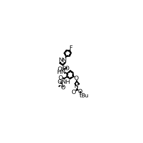 CC(C)(C)OC(=O)N1CC(Oc2ccc(NS(=O)(=O)c3cnn(-c4ccc(F)cc4)c3)c(C(=O)NS(C)(=O)=O)c2)C1